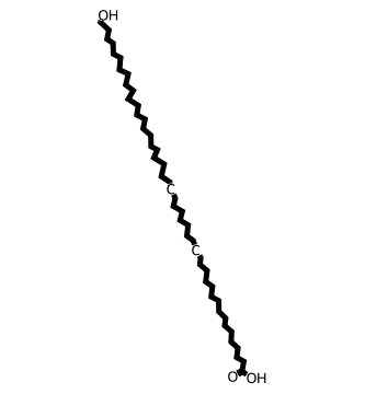 O=C(O)CCCCCCCCCCCCCCCCCCCCCCCCCCCCCCCCCCCCCCCCCCCCCCO